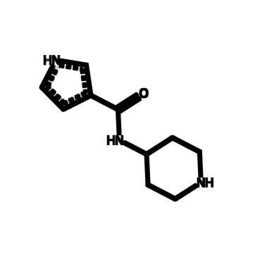 O=C(NC1CCNCC1)c1cc[nH]c1